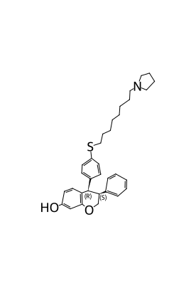 Oc1ccc2c(c1)OC[C@H](c1ccccc1)[C@@H]2c1ccc(SCCCCCCCCN2CCCC2)cc1